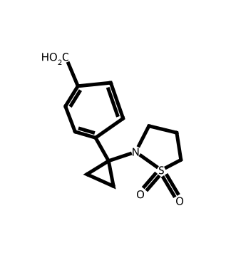 O=C(O)c1ccc(C2(N3CCCS3(=O)=O)CC2)cc1